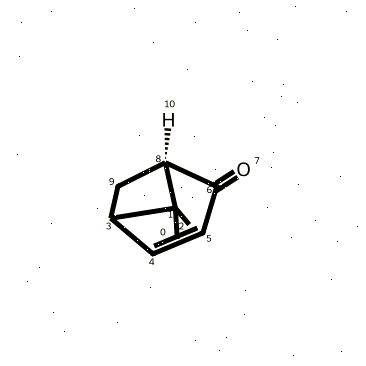 CC1(C)C2C=CC(=O)[C@@H]1C2